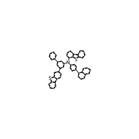 c1ccc(-c2cc(-c3ccc4c(c3)sc3ccccc34)cc(N(c3ccc(-c4cccc5ccccc45)cc3)c3cccc4c3sc3ccccc34)c2)cc1